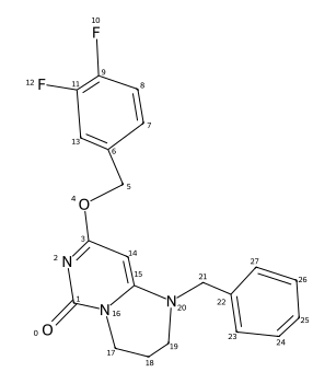 O=c1nc(OCc2ccc(F)c(F)c2)cc2n1CCCN2Cc1ccccc1